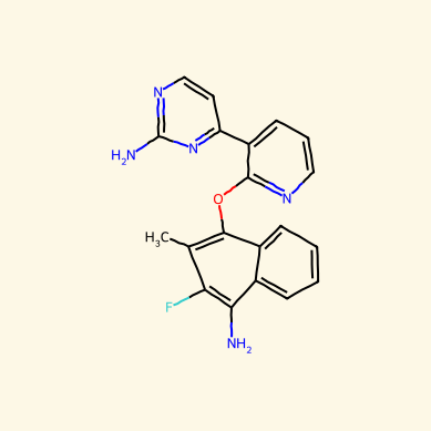 Cc1c(F)c(N)c2ccccc2c1Oc1ncccc1-c1ccnc(N)n1